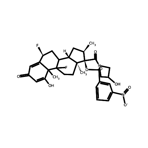 C[C@@H]1C[C@H]2C3C[C@H](F)C4=CC(=O)C=C(O)C4(C)C3(F)CC[C@]2(C)[C@@]1(OC(=O)c1cccc([N+](=O)[O-])c1)C(=O)N1CC(O)C1